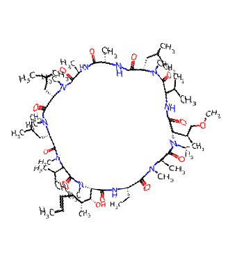 C/C=C/C[C@@H](C)[C@@H](O)[C@H]1C(=O)N[C@@H](CC)C(=O)N(C)[C@H](C)C(=O)N(C)[C@@H]([C@H](C)COC)C(=O)NC(C(C)C)C(=O)N(C)[C@@H](CC(C)C)C(=O)N[C@@H](C)C(=O)N[C@H](C)C(=O)N(C)[C@@H](CC(C)C)C(=O)N(C)[C@@H](CC(C)C)C(=O)N(C)C(C(C)C)C(=O)N1C